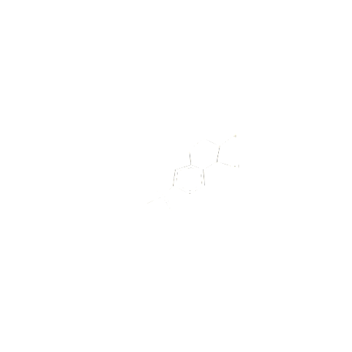 CC(C)C1COc2cc(S(C)(=O)=O)ccc2C1O